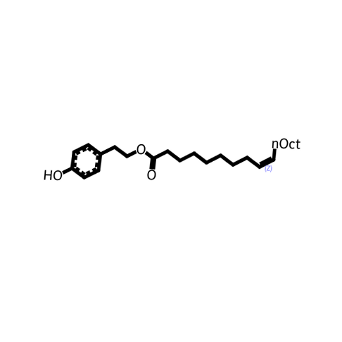 CCCCCCCC/C=C\CCCCCCCC(=O)OCCc1ccc(O)cc1